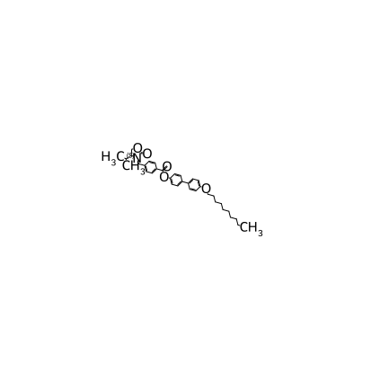 CCCCCCCCCCOc1ccc(-c2ccc(OC(=O)c3ccc(CN4C(=O)OC[C@@H]4C(C)C)cc3)cc2)cc1